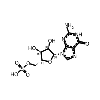 Nc1nc2c(ncn2[C@@H]2O[C@H](COS(=O)(=O)O)[C@@H](O)[C@H]2O)c(=O)[nH]1